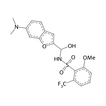 COc1cccc(C(F)(F)F)c1S(=O)(=O)NC(O)c1cc2ccc(N(C)C)cc2o1